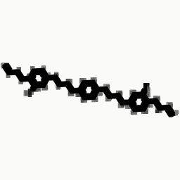 C=CCCc1ccc(CCCCc2ccc(CCCCc3ccc(CCC=C)c(F)c3)cc2)cc1F